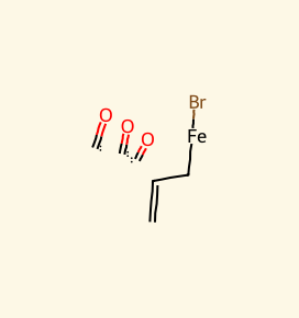 C=C[CH2][Fe][Br].[C]=O.[C]=O.[C]=O